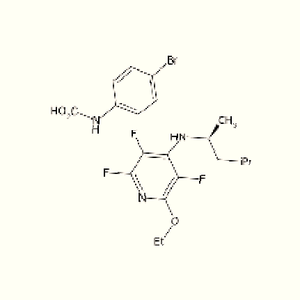 CCOc1nc(F)c(F)c(N[C@@H](C)CC(C)C)c1F.O=C(O)Nc1ccc(Br)cc1